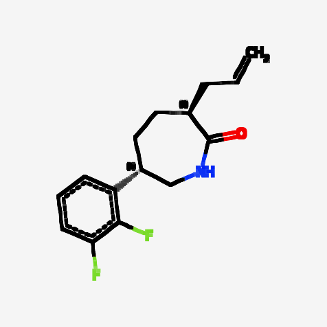 C=CC[C@@H]1CC[C@@H](c2cccc(F)c2F)CNC1=O